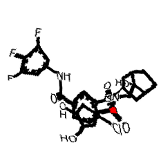 O=C(Nc1cc(F)c(F)c(F)c1)c1ccc(Cl)c(S(=O)(=O)[C@H]2CC3CCC(C2)[C@]3(O)CNC(=O)C2CC(O)C(O)C2)c1